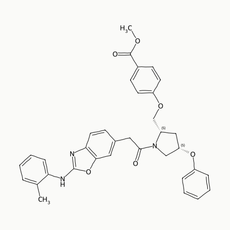 COC(=O)c1ccc(OC[C@@H]2C[C@H](Oc3ccccc3)CN2C(=O)Cc2ccc3nc(Nc4ccccc4C)oc3c2)cc1